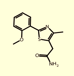 COc1ccccc1-c1nc(C)c(CC(N)=O)s1